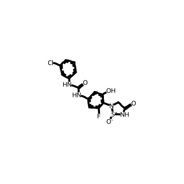 O=C1CN(c2c(O)cc(NC(=O)Nc3cccc(Cl)c3)cc2F)[S+]([O-])N1